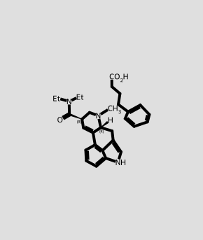 CCN(CC)C(=O)[C@@H]1C=C2c3cccc4[nH]cc(c34)C[C@H]2N(C)C1.O=C(O)CCCc1ccccc1